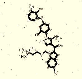 C[Si](C)(C)CCOCn1c(C(=O)c2cnn(-c3ccc(Oc4cccc(C#N)c4F)cc3Cl)c2N)cc2cc(Br)ccc21